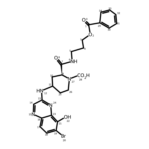 O=C(OCCCNC(=O)[C@@H]1CC(Nc2cnc3ccc(Br)c(O)c3n2)CCN1C(=O)O)c1ccccc1